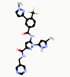 Cc1cc(-n2nc(C(=O)NCc3cncnc3)cc2NC(=O)c2ccc(C(F)(F)F)c(-c3ccn(C)n3)c2)[nH]n1